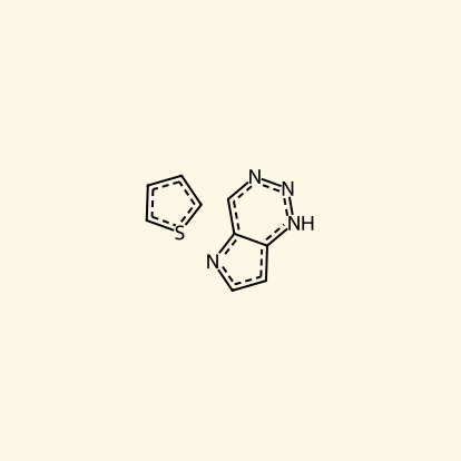 c1cc2[nH]nncc-2n1.c1ccsc1